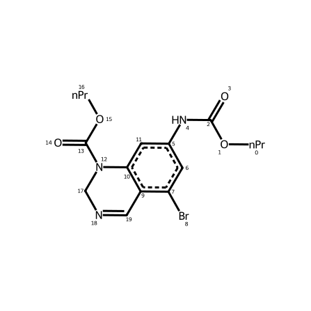 CCCOC(=O)Nc1cc(Br)c2c(c1)N(C(=O)OCCC)CN=C2